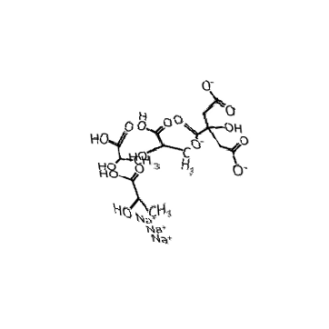 CC(O)C(=O)O.CC(O)C(=O)O.CC(O)C(=O)O.O=C([O-])CC(O)(CC(=O)[O-])C(=O)[O-].[Na+].[Na+].[Na+]